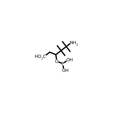 CC(C)(N)C(C)(C)C(CC(=O)O)OP(O)O